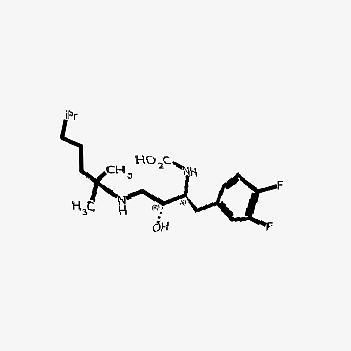 CC(C)CCCC(C)(C)NC[C@@H](O)[C@H](Cc1ccc(F)c(F)c1)NC(=O)O